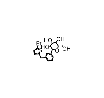 CCc1ccc(Cc2cccc(C3O[C@H](CO)[C@@H](O)[C@H](O)[C@H]3O)c2)s1